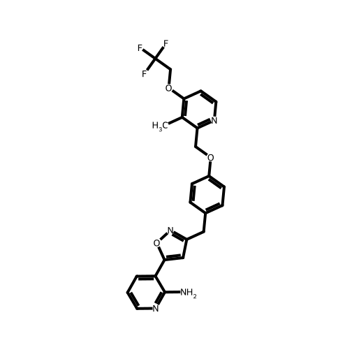 Cc1c(OCC(F)(F)F)ccnc1COc1ccc(Cc2cc(-c3cccnc3N)on2)cc1